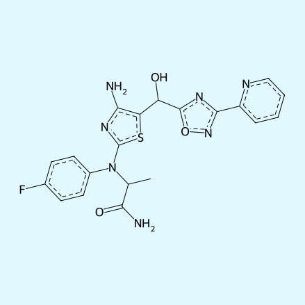 CC(C(N)=O)N(c1ccc(F)cc1)c1nc(N)c(C(O)c2nc(-c3ccccn3)no2)s1